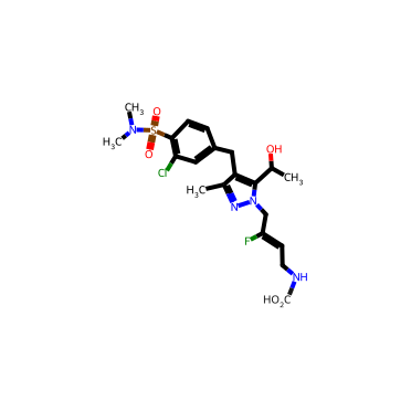 Cc1nn(CC(F)=CCNC(=O)O)c(C(C)O)c1Cc1ccc(S(=O)(=O)N(C)C)c(Cl)c1